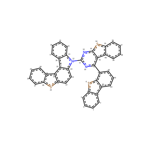 c1ccc2c(c1)sc1c(-c3nc(-n4c5ccccc5c5c6c(ccc54)sc4ccccc46)nc4sc5ccccc5c34)cccc12